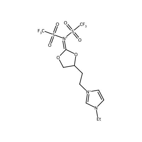 CCn1cc[n+](CCC2COC(=[N+](S(=O)(=O)C(F)(F)F)S(=O)(=O)C(F)(F)F)O2)c1